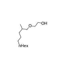 CCCCCCCCCC(C)COCCO